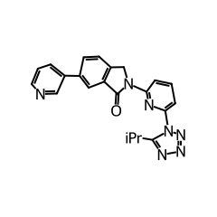 CC(C)c1nnnn1-c1cccc(N2Cc3ccc(-c4cccnc4)cc3C2=O)n1